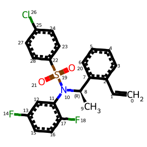 C=Cc1ccccc1[C@@H](C)N(c1cc(F)ccc1F)S(=O)(=O)c1ccc(Cl)cc1